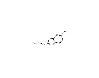 CCN=Nc1nc2ccc(CO)cc2s1